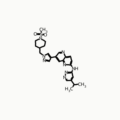 CC(C)c1cnnc(Nc2ccc3ncc(-c4cnn(CC5CCN(S(C)(=O)=O)CC5)c4)cc3n2)c1